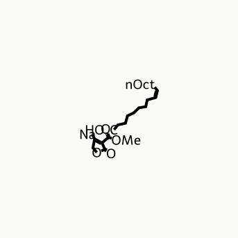 CCCCCCCC/C=C\CCCCCCCC(=O)O.COC(=O)C1=[C]([Na])COC1=O